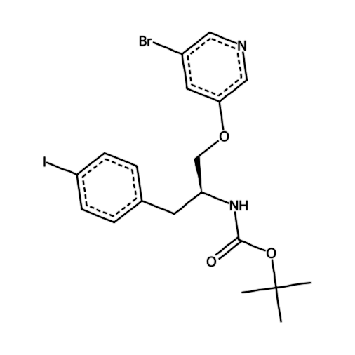 CC(C)(C)OC(=O)N[C@H](COc1cncc(Br)c1)Cc1ccc(I)cc1